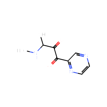 CNC(C)C(=O)C(=O)c1cnccn1